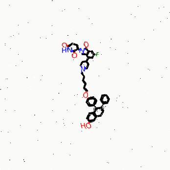 O=C1CCC(N2Cc3c(cc(F)cc3C3CCN(CCCCCCOc4ccc([C@@H]5c6ccc(O)cc6CC[C@@H]5c5ccccc5)cc4)CC3)C2=O)C(=O)N1